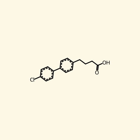 O=C(O)CCCc1ccc(-c2ccc(Cl)cc2)cc1